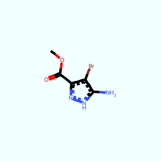 COC(=O)c1n[nH]c(N)c1Br